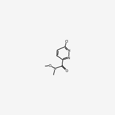 CON(C)C(=O)c1ccc(Cl)nn1